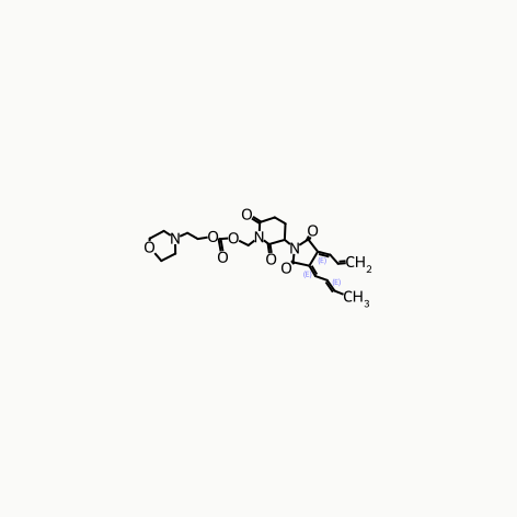 C=C/C=C1/C(=O)N(C2CCC(=O)N(COC(=O)OCCN3CCOCC3)C2=O)C(=O)/C1=C/C=C/C